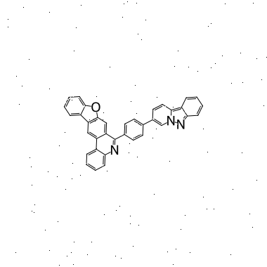 c1ccc2c(c1)nc(-c1ccc(-c3ccc4c5ccccc5nn4c3)cc1)c1cc3oc4ccccc4c3cc12